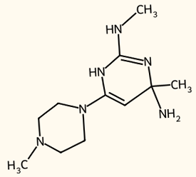 CNC1=NC(C)(N)C=C(N2CCN(C)CC2)N1